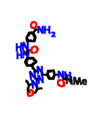 CNC(=O)Nc1ccc(-c2nc(-c3ccc(NC(=O)Nc4ccc(C(N)=O)cc4)cc3)nc(N3C(C)COCC3C)n2)cc1